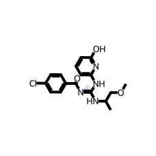 COCC(C)N/C(=N/C(=O)c1ccc(Cl)cc1)Nc1cccc(O)n1